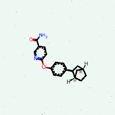 NC(=O)c1ccc(Oc2ccc(C3C[C@@H]4CC[C@H]3C4)cc2)nc1